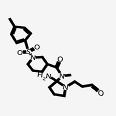 Cc1ccc(S(=O)(=O)N2CCCC(C(=O)N(C)C3(N)CCCN3CCC=O)C2)cc1